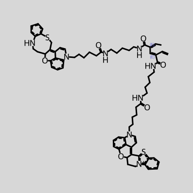 C=C/C(=C\C(=C/C)C(=O)NCCCCCNC(=O)CCCCCN1C=CC2=C3CSc4ccccc4NCCC3Oc3cccc1c32)C(=O)NCCCCCNC(=O)CCCCCN1C=CC2=C3c4sc5ccccc5[n+]4CCC3Oc3cccc1c32